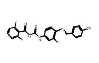 N#Cc1ccc(COc2ccc(NC(=O)NC(=O)c3c(F)cccc3F)cc2Cl)cc1